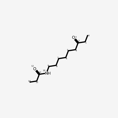 CCC(=O)CCCCCCNC(=O)CC